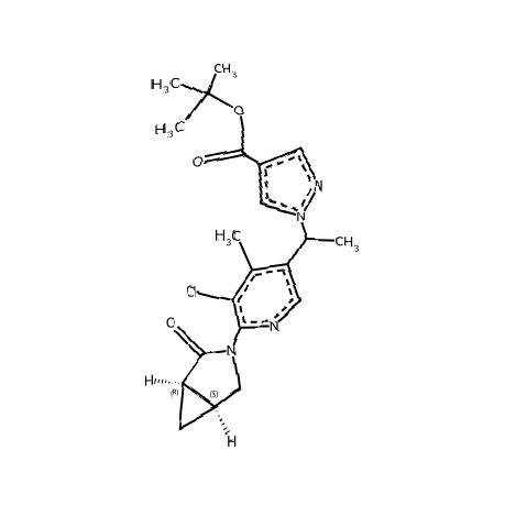 Cc1c(C(C)n2cc(C(=O)OC(C)(C)C)cn2)cnc(N2C[C@H]3C[C@H]3C2=O)c1Cl